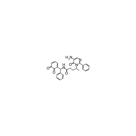 CC(CCC(=O)NC(C1=CC=CC(=O)C1=O)c1ccccc1)n1c(-c2ccccc2)ncc(N)c1=O